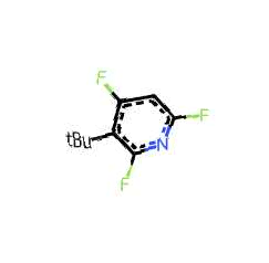 CC(C)(C)c1c(F)cc(F)nc1F